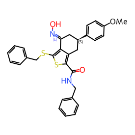 COc1ccc([C@@H]2C/C(=N\O)c3c(SCc4ccccc4)sc(C(=O)NCc4ccccc4)c3C2)cc1